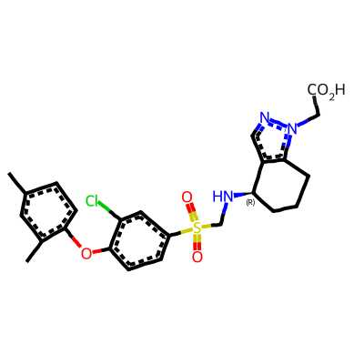 Cc1ccc(Oc2ccc(S(=O)(=O)CN[C@@H]3CCCc4c3cnn4CC(=O)O)cc2Cl)c(C)c1